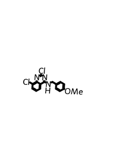 COc1ccc(CNc2nc(Cl)nc3c(Cl)cccc23)cc1